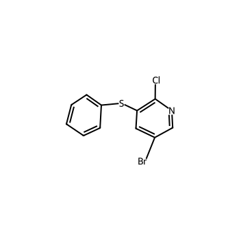 Clc1ncc(Br)cc1Sc1ccccc1